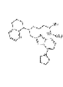 CC(C)(C)C(CCCN(Cc1cn2c(N3CCCC3)cccc2n1)C1CCCc2cccnc21)NC(=O)O